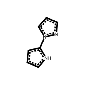 c1c[nH]c(-n2cccn2)c1